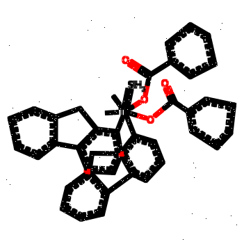 [CH3][Ti]([CH3])(=[SiH2])([O]C(=O)c1ccccc1)([O]C(=O)c1ccccc1)([c]1cccc2c1Cc1ccccc1-2)[c]1cccc2c1Cc1ccccc1-2